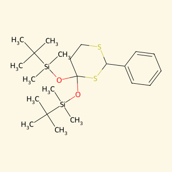 CC(C)(C)[Si](C)(C)OC1(O[Si](C)(C)C(C)(C)C)CCSC(c2ccccc2)S1